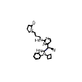 N#C/C(=C1/Nc2ccccc2N1C1CCC1)c1ccnc(NCCCN2CCCC2=O)n1